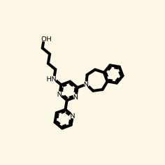 OCCCCNc1cc(N2CCc3ccccc3CC2)nc(-c2ccccn2)n1